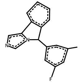 Cc1cc(F)cc(C2c3ccccc3-c3cncn32)c1